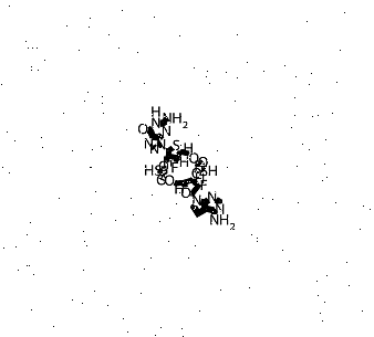 Nc1nc2c(nnn2[C@@H]2S[C@@H]3COP(=O)(S)O[C@H]4[C@H](F)[C@H](n5ccc6c(N)ncnc65)O[C@@H]4COP(=O)(S)O[C@@H]2[C@@H]3F)c(=O)[nH]1